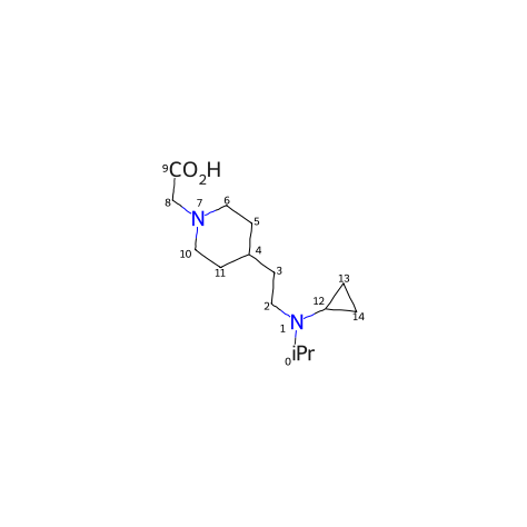 CC(C)N(CCC1CCN(CC(=O)O)CC1)C1CC1